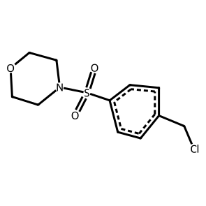 O=S(=O)(c1ccc(CCl)cc1)N1CCOCC1